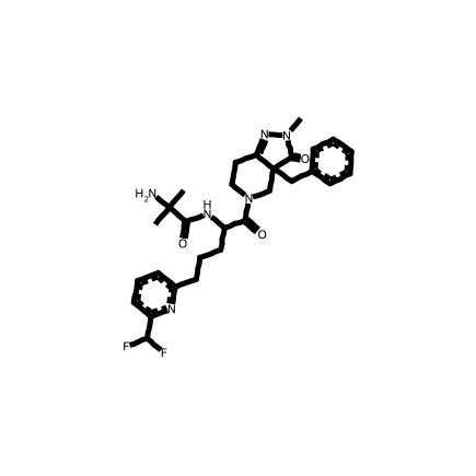 CN1N=C2CCN(C(=O)C(CCCc3cccc(C(F)F)n3)NC(=O)C(C)(C)N)CC2(Cc2ccccc2)C1=O